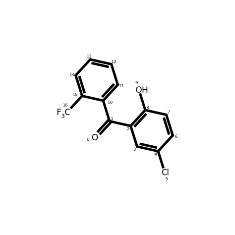 O=C(c1cc(Cl)ccc1O)c1ccccc1C(F)(F)F